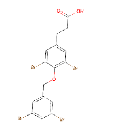 O=C(O)CCc1cc(Br)c(OCc2cc(Br)cc(Br)c2)c(Br)c1